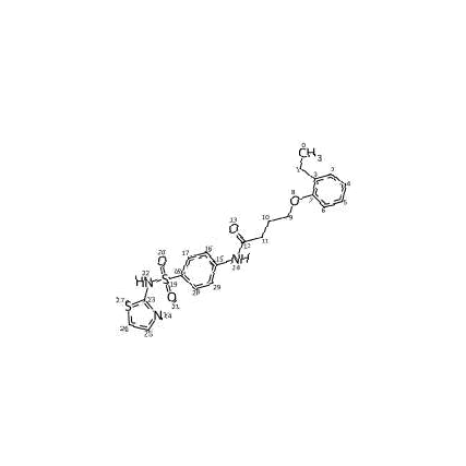 CCc1ccccc1OCCCC(=O)Nc1ccc(S(=O)(=O)Nc2nccs2)cc1